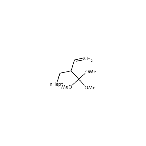 C=CC(CCCCCCCC)C(OC)(OC)OC